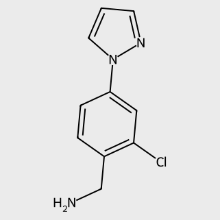 NCc1ccc(-n2cccn2)cc1Cl